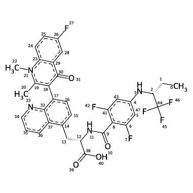 CC[C@@H](Nc1cc(F)c(C(=O)N[C@@H](Cc2ccc(-c3c(C)n(C)c4ccc(F)cc4c3=O)c3ncccc23)C(=O)O)c(F)c1)C(F)(F)F